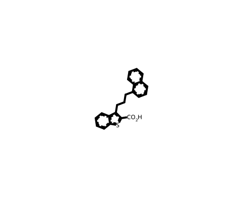 O=C(O)c1sc2ccccc2c1CCCc1cccc2ccccc12